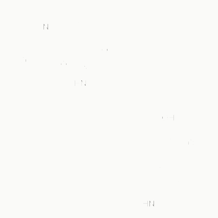 CC(=O)N1CCCC1OC(=O)NCCCCC(C(=O)O)c1c[nH]c2ccccc12